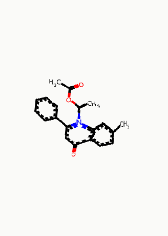 CC(=O)OC(C)n1c(-c2ccccc2)cc(=O)c2ccc(C)cc21